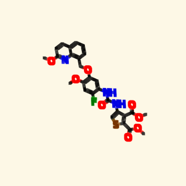 COC(=O)c1scc(NC(=O)Nc2cc(OCc3cccc4ccc(OC)nc34)c(OC)cc2F)c1C(=O)OC